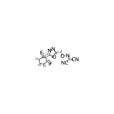 N#CC(C#N)=NOCc1nnc(-c2c(F)cccc2F)o1